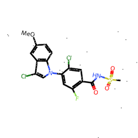 COc1ccc2c(c1)c(Cl)cn2-c1cc(F)c(C(=O)NS(C)(=O)=O)cc1Cl